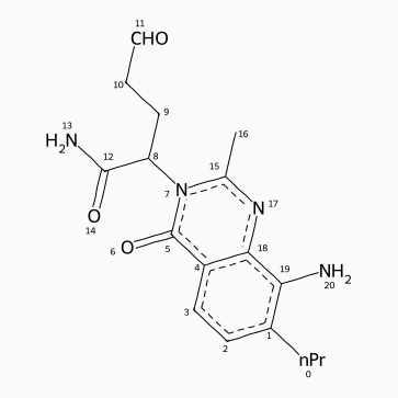 CCCc1ccc2c(=O)n(C(CCC=O)C(N)=O)c(C)nc2c1N